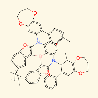 CC(C)c1cc2c3c(c1)N(C1C(c4ccccc4)=CC4=C(OCCCO4)C1C)c1oc4ccc(C(C)(C)C)cc4c1B3c1c(oc3ccc(C(C)(C)C)cc13)N2c1cc2c(cc1-c1ccccc1)OCCCO2